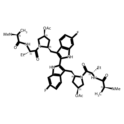 CC[C@H](NC(=O)[C@H](C)NC)C(=O)N1C[C@@H](OC(C)=O)C[C@H]1Cc1c(-c2[nH]c3cc(F)ccc3c2C[C@@H]2C[C@H](OC(C)=O)CN2C(=O)[C@H](CC)NC(=O)[C@H](C)NC)[nH]c2cc(F)ccc12